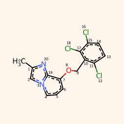 Cc1cn2cccc(OCc3c(Cl)ccc(Cl)c3Cl)c2n1